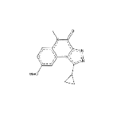 COc1ccc2c(c1)n1c(C3CC3)nnc1c(=O)n2C